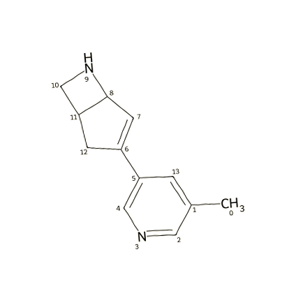 Cc1cncc(C2=CC3NCC3C2)c1